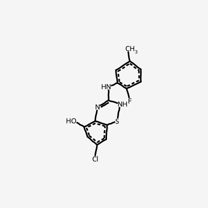 Cc1ccc(F)c(NC2=Nc3c(O)cc(Cl)cc3SN2)c1